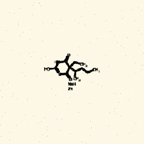 CCCC(C)C1(CC)C(=O)N=C(O)NC1=O.[NaH].[Zn]